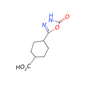 O=C(O)C1CCC(c2n[nH]c(=O)o2)CC1